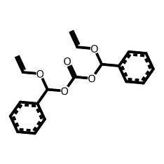 C=COC(OC(=O)OC(OC=C)c1ccccc1)c1ccccc1